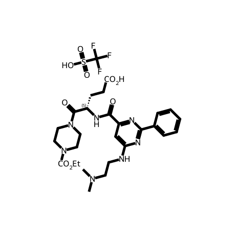 CCOC(=O)N1CCN(C(=O)[C@H](CCC(=O)O)NC(=O)c2cc(NCCN(C)C)nc(-c3ccccc3)n2)CC1.O=S(=O)(O)C(F)(F)F